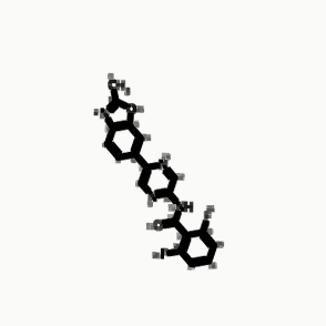 Cc1nc2ccc(-c3cnc(NC(=O)c4c(F)cccc4F)cn3)cc2o1